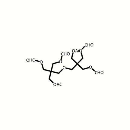 CC(=O)OCC(COC=O)(COC=O)COCC(COC=O)(COC=O)COC(C)=O